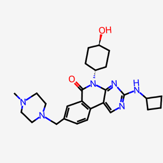 CN1CCN(Cc2ccc3c(c2)c(=O)n([C@H]2CC[C@H](O)CC2)c2nc(NC4CCC4)ncc32)CC1